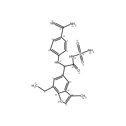 CCc1cc(C(Nc2ccc(C(=N)N)cc2)C(=O)NS(N)(=O)=O)cc2c(C)coc12